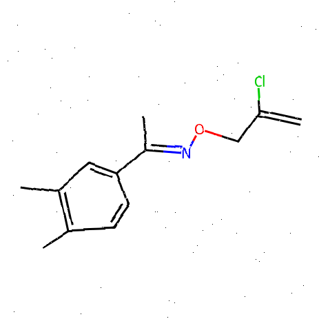 C=C(Cl)CO/N=C(\C)c1ccc(C)c(C)c1